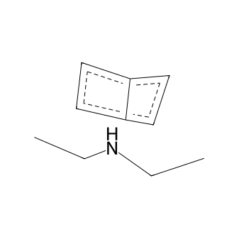 CCNCC.c1cc2ccc1-2